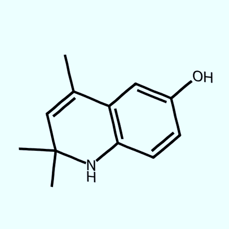 CC1=CC(C)(C)Nc2ccc(O)cc21